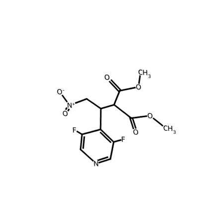 COC(=O)C(C(=O)OC)C(C[N+](=O)[O-])c1c(F)cncc1F